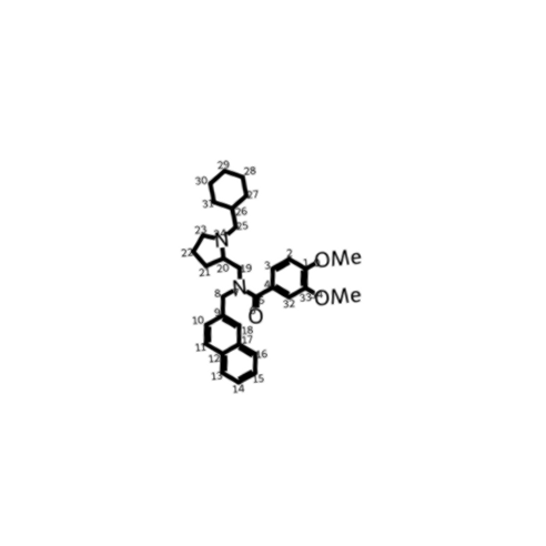 COc1ccc(C(=O)N(Cc2ccc3ccccc3c2)CC2CCCN2CC2CCCCC2)cc1OC